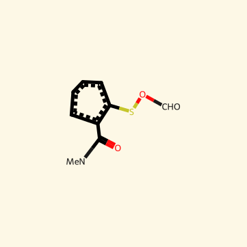 CNC(=O)c1ccccc1SOC=O